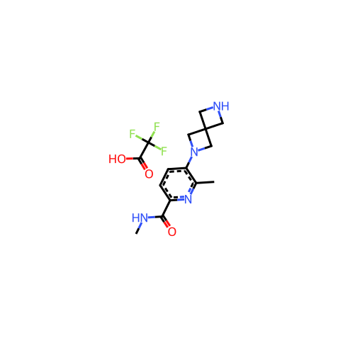 CNC(=O)c1ccc(N2CC3(CNC3)C2)c(C)n1.O=C(O)C(F)(F)F